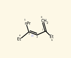 C=C(/C=C(/CC)CCC)CC